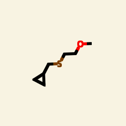 COCCSCC1CC1